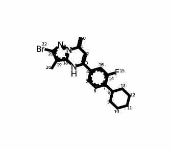 C=C1C=C(c2ccc(C3CCCCC3)c(F)c2)Nc2c(C)c(Br)nn21